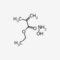 C=C(C)C(=O)OCC.NO